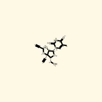 C#CCO[C@]1(C#C)[C@@H](CO)O[C@@H](n2cc(C)c(=O)[nH]c2=O)[C@@H]1O